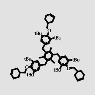 Cc1c(Cc2cc(C(C)(C)C)c(OCC3CC=CCC3)c(C(C)(C)C)c2)c(C)c(Cc2cc(C(C)(C)C)c(OCC3CC=CCC3)c(C(C)(C)C)c2)c(C)c1Cc1cc(C(C)(C)C)c(OCC2CC=CCC2)c(C(C)(C)C)c1